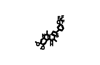 COc1cc2nc(C)nc(NC(C)c3ccc(-c4cccc(OC(F)(F)F)c4)s3)c2cc1OC